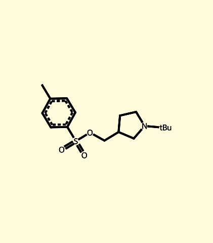 Cc1ccc(S(=O)(=O)OCC2CCN(C(C)(C)C)C2)cc1